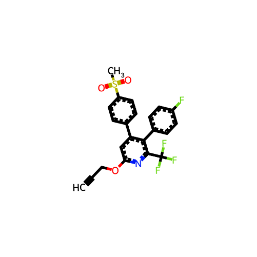 C#CCOc1cc(-c2ccc(S(C)(=O)=O)cc2)c(-c2ccc(F)cc2)c(C(F)(F)F)n1